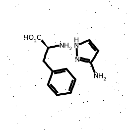 N[C@@H](Cc1ccccc1)C(=O)O.Nc1cc[nH]n1